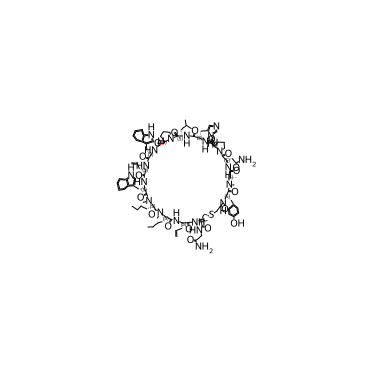 C=CC[C@@H]1NC(=O)[C@H](Cc2c[nH]c3ccccc23)NC(=O)[C@@H]2CCCN2C(=O)[C@H](CC(C)C)NC(=O)[C@H](Cc2cnc[nH]2)NC(=O)[C@@H]2CCCN2C(=O)[C@H](CC(N)=O)NC(=O)[C@H](C)N(C)C(=O)[C@H](Cc2ccc(O)cc2)NC(=O)CSC[C@@H](C(=O)NCC(N)=O)NC(=O)[C@H](CC=C)NC(=O)[C@H](CCCC)N(C)C(=O)[C@H](CCCC)N(C)C(=O)[C@H](Cc2c[nH]c3ccccc23)NC1=O